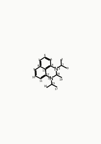 CC(C)N1c2cccc3cccc(c23)N(C(C)C)C1C